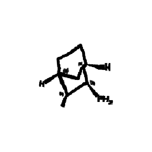 C[C@H]1[C@@H]2CC[C@@H](C2)[C@H]1P